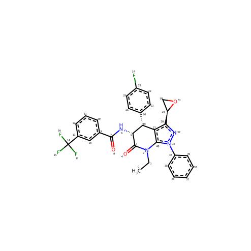 CCN1C(=O)[C@H](NC(=O)c2cccc(C(F)(F)F)c2)[C@H](c2ccc(F)cc2)c2c([C@H]3CO3)nn(-c3ccccc3)c21